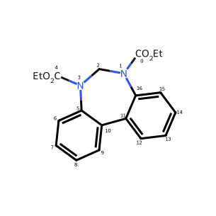 CCOC(=O)N1CN(C(=O)OCC)c2ccccc2-c2ccccc21